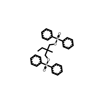 CCC(C)(COP(=O)(c1ccccc1)c1ccccc1)COP(=O)(c1ccccc1)c1ccccc1